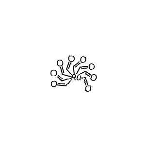 O=[CH][Ru]([CH]=O)([CH]=O)([CH]=O)([CH]=O)([CH]=O)([CH]=O)[CH]=O